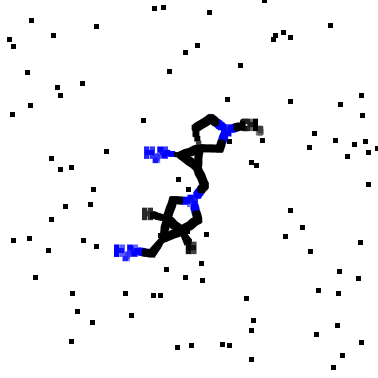 CN1CC[C@]2(C1)C(CN1C[C@@H]3[C@@H](CN)[C@@H]3C1)[C@@H]2N